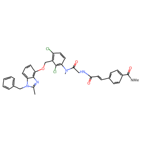 CNC(=O)c1ccc(C=CC(=O)NCC(=O)N(C)c2ccc(Cl)c(COc3cccc4c3nc(C)n4Cc3ccccc3)c2Cl)cc1